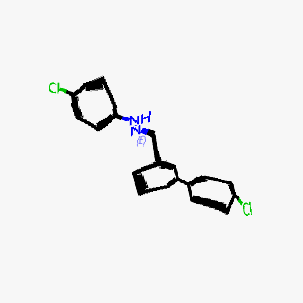 Clc1ccc(N/N=C/c2cccc(-c3ccc(Cl)cc3)c2)cc1